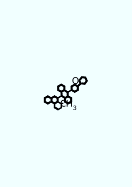 CC1CC=Cc2c1c(-c1c3ccccc3c(-c3ccc4c(c3)oc3ccccc34)c3ccccc13)cc1ccccc21